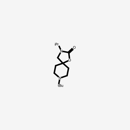 CC(C)N1CC2(CCN(C(C)(C)C)CC2)OC1=O